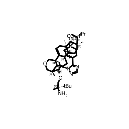 CC(=O)N1CCC(c2ncnn2[C@@H]2C[C@@]34COC[C@](C)([C@@H]3CC[C@H]3C4=CC[C@@]4(C)[C@H](C(=O)O)[C@@](C)([C@H](C)C(C)C)CC[C@]34C)[C@H]2OC[C@](C)(N)C(C)(C)C)CC1